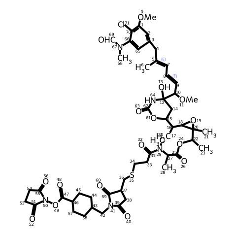 COc1cc(C/C(C)=C/C=C/C(OC)C2(O)CC(C(C)C3OC3(C)C(C)OC(=O)C(C)N(C)C(=O)CCSCC3CC(=O)N(CC4CCC(C(=O)ON5C(=O)CCC5=O)CC4)C3=O)OC(=O)N2)cc(N(C)C=O)c1Cl